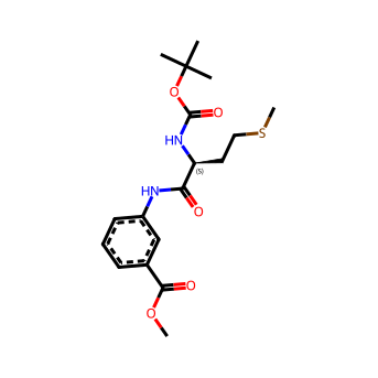 COC(=O)c1cccc(NC(=O)[C@H](CCSC)NC(=O)OC(C)(C)C)c1